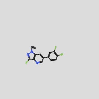 CCCCn1nc(F)c2ncc(-c3ccc(F)c(F)c3)cc21